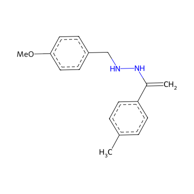 C=C(NNCc1ccc(OC)cc1)c1ccc(C)cc1